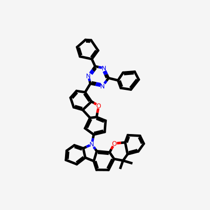 CC1(C)c2ccccc2Oc2c1ccc1c3ccccc3n(-c3ccc4oc5c(-c6nc(-c7ccccc7)nc(-c7ccccc7)n6)cccc5c4c3)c21